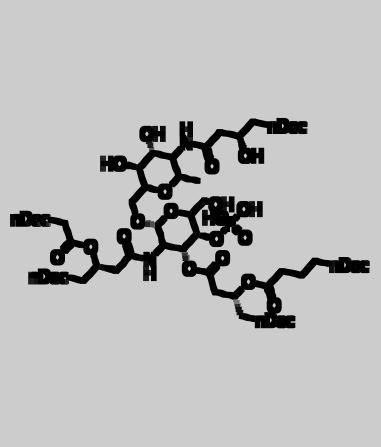 CCCCCCCCCCCCCC(=O)O[C@H](CCCCCCCCCCC)CC(=O)O[C@@H]1C(NC(=O)C[C@@H](CCCCCCCCCCC)OC(=O)CCCCCCCCCCC)[C@H](OCC2OC(C)C(NC(=O)C[C@H](O)CCCCCCCCCCC)[C@@H](O)[C@@H]2O)OC(CO)[C@H]1OP(=O)(O)O